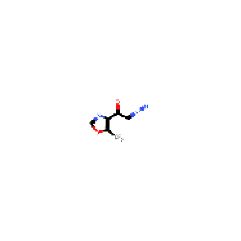 [N-]=[N+]=CC(=O)c1ncoc1C(F)(F)F